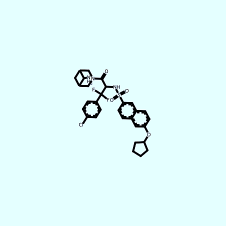 NC1C2CC1CN(C(=O)C(NS(=O)(=O)c1ccc3cc(OC4CCCC4)ccc3c1)C(F)(F)c1ccc(Cl)cc1)C2